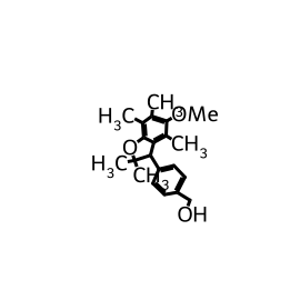 COc1c(C)c(C)c2c(c1C)C(c1ccc(CO)cc1)C(C)(C)O2